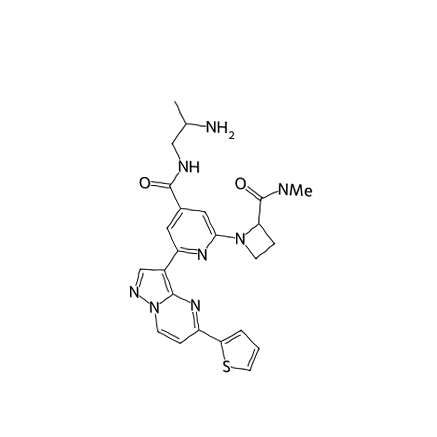 CNC(=O)C1CCN1c1cc(C(=O)NCC(C)N)cc(-c2cnn3ccc(-c4cccs4)nc23)n1